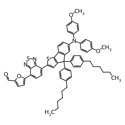 CCCCCCc1ccc(C2(c3ccc(CCCCCC)cc3)c3cc(N(c4ccc(OC)cc4)c4ccc(OC)cc4)ccc3-c3sc(-c4ccc(-c5ccc(C=O)o5)c5nsnc45)cc32)cc1